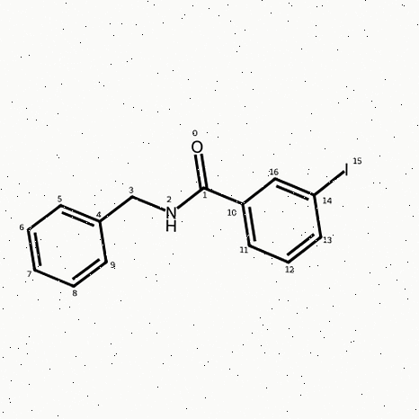 O=C(NCc1ccccc1)c1cccc(I)c1